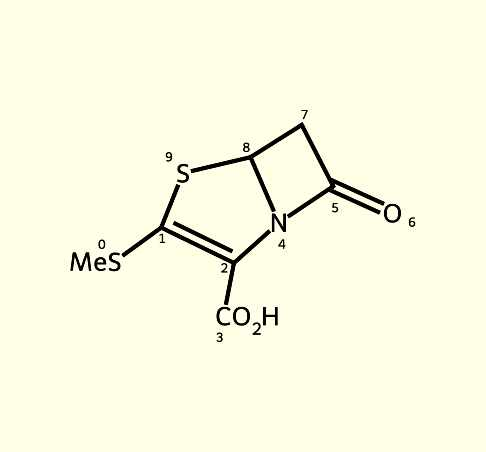 CSC1=C(C(=O)O)N2C(=O)CC2S1